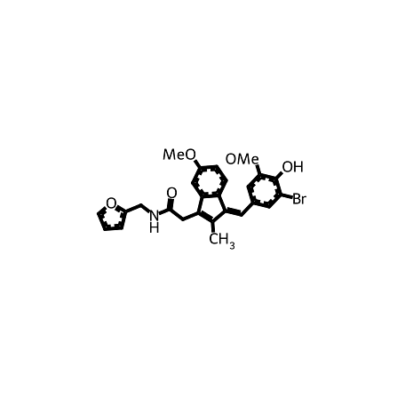 COc1ccc2c(c1)C(CC(=O)NCc1ccco1)=C(C)/C2=C/c1cc(Br)c(O)c(OC)c1